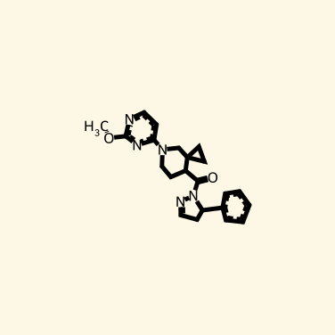 COc1nccc(N2CCC(C(=O)N3N=CCC3c3ccccc3)C3(CC3)C2)n1